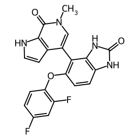 Cn1cc(-c2c(Oc3ccc(F)cc3F)ccc3[nH]c(=O)[nH]c23)c2cc[nH]c2c1=O